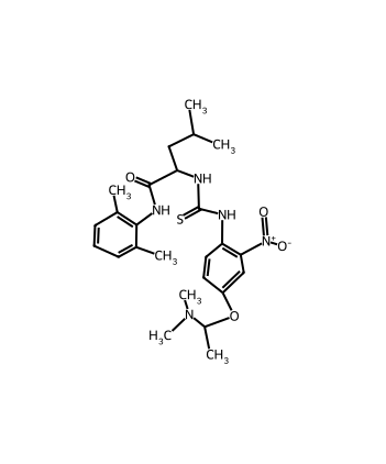 Cc1cccc(C)c1NC(=O)C(CC(C)C)NC(=S)Nc1ccc(OC(C)N(C)C)cc1[N+](=O)[O-]